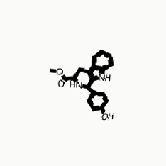 COC(=O)C1Cc2c([nH]c3ccccc23)C(c2ccc(O)cc2)N1